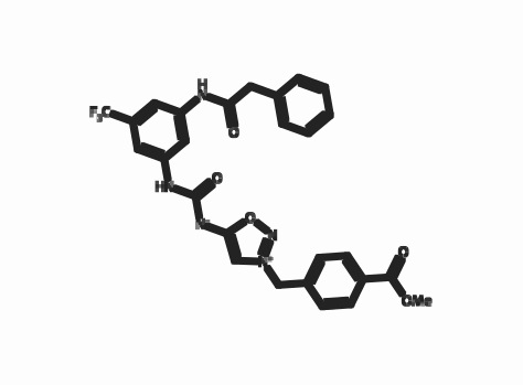 COC(=O)c1ccc(C[n+]2cc([N-]C(=O)Nc3cc(NC(=O)Cc4ccccc4)cc(C(F)(F)F)c3)on2)cc1